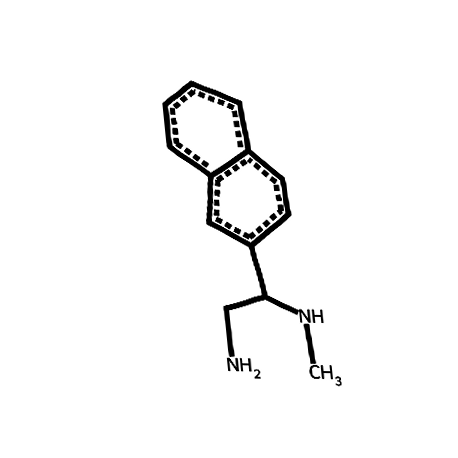 CNC(CN)c1ccc2ccccc2c1